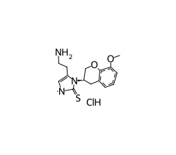 COc1cccc2c1OC[C@H](N1C(=S)[N]C=C1CCN)C2.Cl